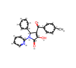 Cc1ccc(C(=O)C2=C(O)C(=O)N(c3ccccn3)C2c2ccccc2)cc1